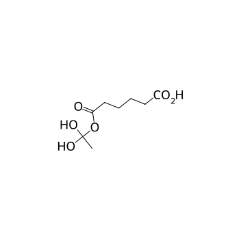 CC(O)(O)OC(=O)CCCCC(=O)O